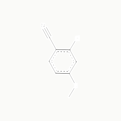 CSc1ccc(C#N)c(Cl)c1